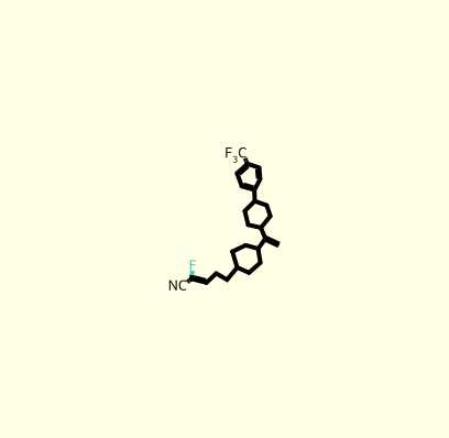 C=C(C1CCC(CCC=C(F)C#N)CC1)C1CCC(c2ccc(C(F)(F)F)cc2)CC1